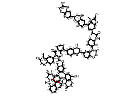 Cn1c(=O)oc2cc(C3Oc4ccc(N5C(=O)COc6ccc(C7CNc8cc(-c9cccn%10c(=O)c(-c%11ccc%12c(c%11)NC(=O)CS%12)c(C%11Oc%12cc(-c%13cc(O)c%14c(c%13-c%13cc%15c(cc%13F)OCC(=O)N%15)C(c%13cc%15cccc(O)c%15c(=O)[nH]%13)C(=O)[C]=N%14)c([N+](=O)[O-])cc%12O%11)nc9%10)ccc8S7)nc65)cc4NC3=O)cc(-c3ccc4c(c3)NCC(c3cnc5c(c3)NC(=O)CS5)O4)c21